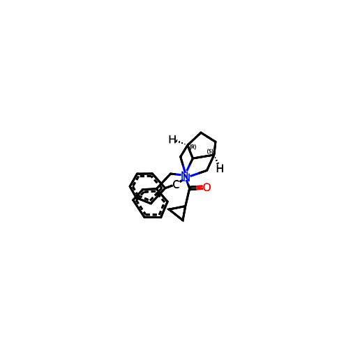 O=C(C1CC1)N(Cc1ccccc1)C1[C@@H]2CC[C@H]1CN(Cc1ccccc1)C2